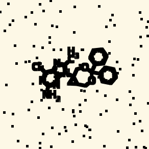 Cc1nc2c(Cl)nc(N)nc2n1C12COC(c3ccccc3)(c3ccccc3)OCC1C2